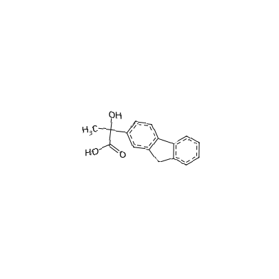 CC(O)(C(=O)O)c1ccc2c(c1)Cc1ccccc1-2